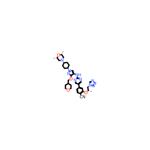 C[C@@H]1CN([C@H]2CC[C@H](n3cc(Nc4ncc(-c5ccc(C#N)c(O[C@@H](C)Cn6cnnn6)c5)cn4)c(OCC4CCOCC4)n3)CC2)C[C@H](C)O1